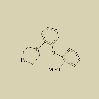 COc1ccccc1Oc1ccccc1N1CCNCC1